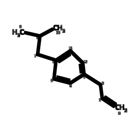 C=CCc1ccc(CC(C)C)cc1